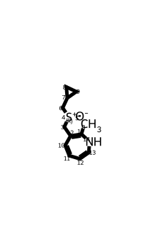 CC1=C(C[S@@+]([O-])CC2CC2)C=CC=CN1